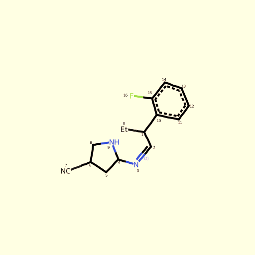 CCC(/C=N\C1CC(C#N)CN1)c1ccccc1F